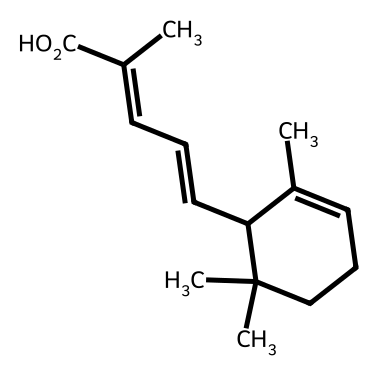 CC(=CC=CC1C(C)=CCCC1(C)C)C(=O)O